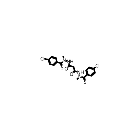 CN(NC(=O)CC(=O)NN(C)C(=S)c1ccc(Cl)cc1)C(=S)c1ccc(Cl)cc1